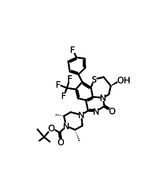 C[C@@H]1CN(c2nc(=O)n3c4c(c(-c5ccc(F)cc5)c(C(F)(F)F)cc24)SC[C@@H](O)C3)C[C@H](C)N1C(=O)OC(C)(C)C